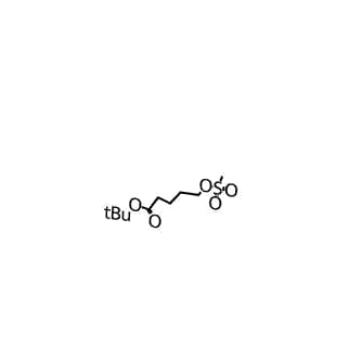 CC(C)(C)OC(=O)CCCCOS(C)(=O)=O